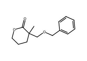 CC1(COCc2ccccc2)CCCOC1=O